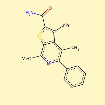 CCCc1c(C(N)=O)sc2c(OC)nc(-c3ccccc3)c(C)c12